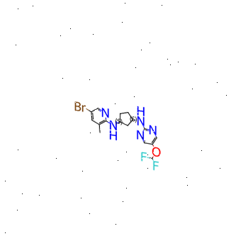 Cc1cc(Br)cnc1N[C@H]1CC[C@H](Nc2ncc(OC(F)F)cn2)C1